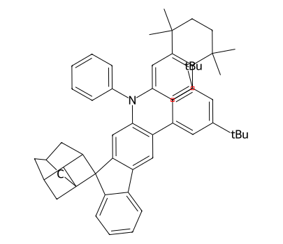 CC(C)(C)c1cc(-c2cc3c(cc2N(c2ccccc2)c2ccc4c(c2)C(C)(C)CCC4(C)C)C2(c4ccccc4-3)C3CC4CC5CC2(C4)C53)cc(C(C)(C)C)c1